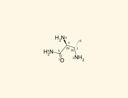 C[C@H](N)[C@H](N)C(N)=O